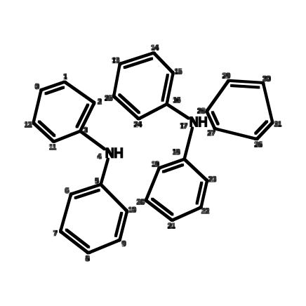 c1ccc(Nc2ccccc2)cc1.c1ccc(Nc2ccccc2)cc1.c1ccccc1